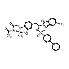 NS(=O)(=O)N(CC(=O)OC(=O)C(F)(F)F)c1ccc(CC(NS(=O)(=O)c2ccc(-c3ccccc3)cc2)c2nc3cc(C(F)(F)F)ccc3[nH]2)cc1Cl